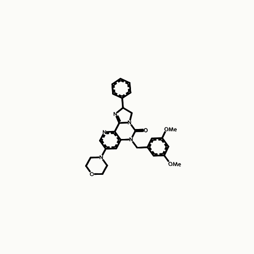 COc1cc(CN2C(=O)N3CC(c4ccccc4)N=C3c3ncc(N4CCOCC4)cc32)cc(OC)c1